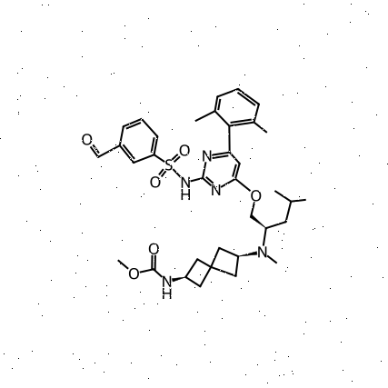 COC(=O)N[C@H]1CC2(C1)C[C@H](N(C)[C@@H](COc1cc(-c3c(C)cccc3C)nc(NS(=O)(=O)c3cccc(C=O)c3)n1)CC(C)C)C2